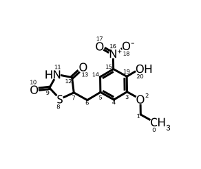 CCOc1cc(CC2SC(=O)NC2=O)cc([N+](=O)[O-])c1O